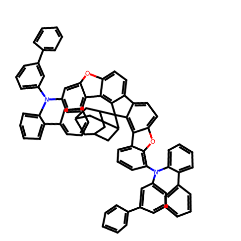 c1ccc(-c2cccc(N(c3ccc4c(c3)oc3ccc5c(c34)C3(c4c-5ccc5oc6c(N(c7cccc(-c8ccccc8)c7)c7ccccc7-c7ccccc7)cccc6c45)C4CC5CC(C4)CC3C5)c3ccccc3-c3ccccc3)c2)cc1